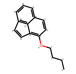 CCCCOc1ccc2cccc3c2c1C=C3